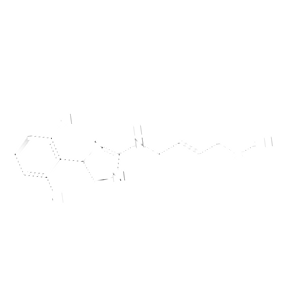 COC/C=C/CNC1=NC(c2c(Cl)cccc2Cl)CN1